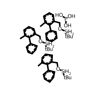 Cc1cccc(CO[SiH2]C(C)(C)C)c1-c1ccccc1.Cc1cccc(CO[SiH2]C(C)(C)C)c1-c1ccccc1.Cc1cccc(CO[SiH2]C(C)(C)C)c1-c1ccccc1.OP(O)O